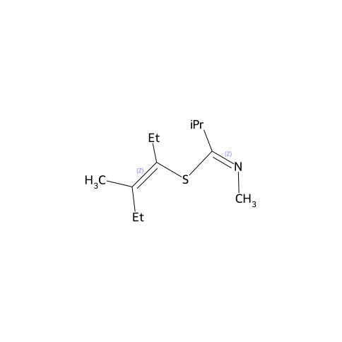 CC/C(C)=C(/CC)S/C(=N\C)C(C)C